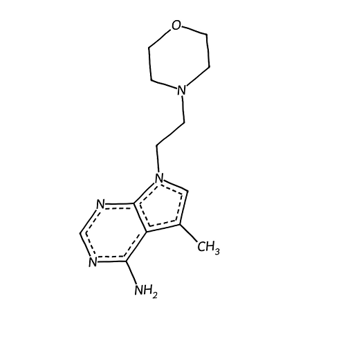 Cc1cn(CCN2CCOCC2)c2ncnc(N)c12